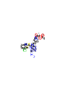 CC(=O)O[C@@H](C)C(=O)N1CCC(CCn2c(Sc3nc4cccc(Cl)c4s3)nc3c(N)ncnc32)CC1